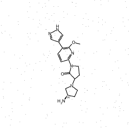 COc1nc(N2CCC(N3CC[C@@H](N)C3)C2=O)ccc1-c1cn[nH]c1